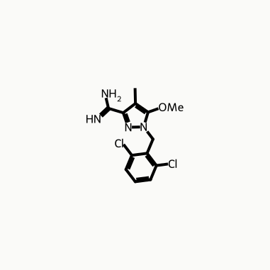 COc1c(C)c(C(=N)N)nn1Cc1c(Cl)cccc1Cl